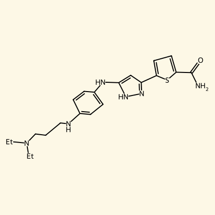 CCN(CC)CCCNc1ccc(Nc2cc(-c3ccc(C(N)=O)s3)n[nH]2)cc1